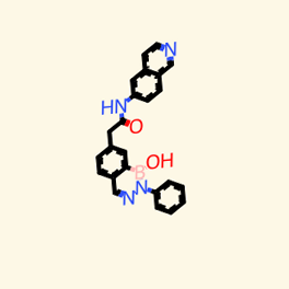 O=C(Cc1ccc2c(c1)B(O)N(c1ccccc1)N=C2)Nc1ccc2cnccc2c1